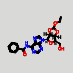 CCOC1O[C@@H]2[C@H](O1)[C@@H](CO)O[C@H]2n1cnc2c(NC(=O)c3ccccc3)ncnc21